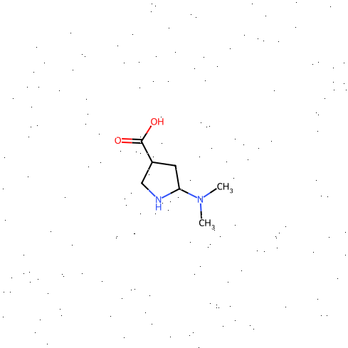 CN(C)C1CC(C(=O)O)CN1